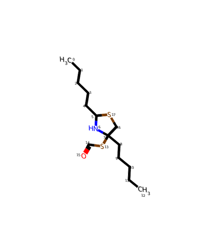 CCCCCC1NC(CCCCC)(SC=O)CS1